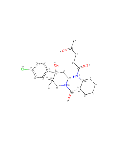 CC(=O)CCC(=O)N[C@@H]1CCCC[C@@H]1C(=O)N1CC[C@](O)(c2ccc(Cl)cc2)C(C)(C)C1